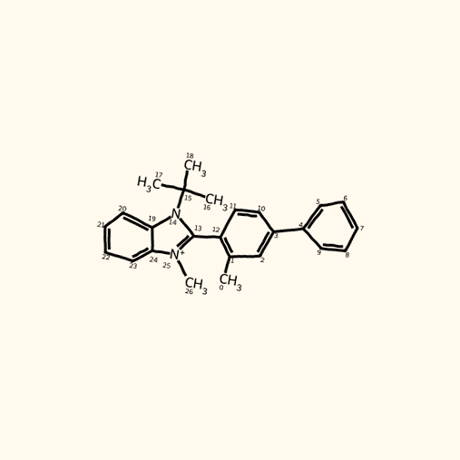 Cc1cc(-c2ccccc2)ccc1-c1n(C(C)(C)C)c2ccccc2[n+]1C